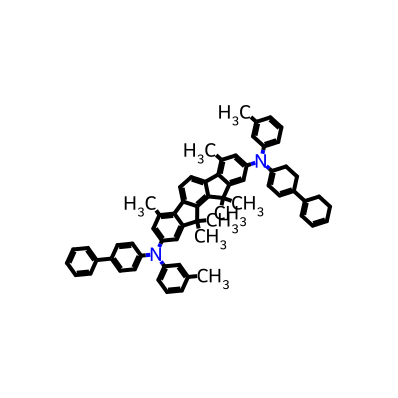 Cc1cccc(N(C2=CC=C(C3=CC=CCC3)CC2)c2cc(C)c3c(c2)C(C)(C)c2c-3ccc3c2C(C)(C)c2cc(N(c4ccc(-c5ccccc5)cc4)c4cccc(C)c4)cc(C)c2-3)c1